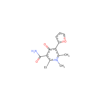 CCc1c(C(N)=O)c(=O)c(-c2ccco2)c(C)n1C